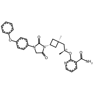 C[C@@H](C[C@]1(C)C[C@@H](N2C(=O)CN(c3ccc(Oc4ccccc4)cc3)C2=O)C1)Oc1ncccc1C(N)=O